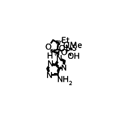 CC[C@@]12CO[C@@H](C1OP(O)(=S)OC)[C@H](n1cnc3c(N)ncnc31)O2